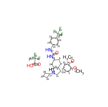 COc1ccc([C@@]23CC[C@@H](NC(=O)Nc4ccc(C(F)(F)F)cc4)C[C@@H]2N(C2CCC2)CC3)cc1OC.O=C(O)C(F)(F)F